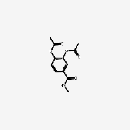 CNC(=O)c1ccc(OC(C)=O)c(OC(C)=O)c1